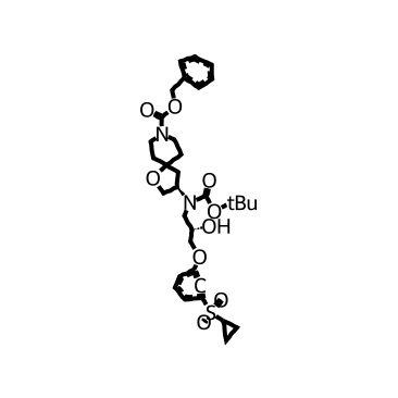 CC(C)(C)OC(=O)N(C[C@H](O)COc1cccc(S(=O)(=O)C2CC2)c1)[C@H]1COC2(CCN(C(=O)OCc3ccccc3)CC2)C1